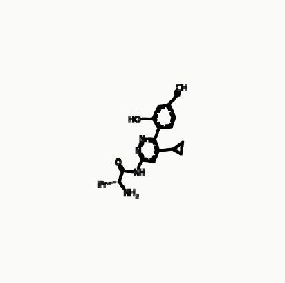 C#Cc1ccc(-c2nnc(NC(=O)[C@H](N)C(C)C)cc2C2CC2)c(O)c1